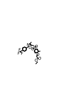 CCOC(=O)COc1ccc(S(=O)(=O)Cc2oc(-c3ccc(C(F)(F)F)cc3)nc2C)cc1C